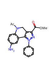 COC(=O)c1nn(-c2ccccc2)c2c1CN(C(C)=O)c1ccc(N)cc1-2